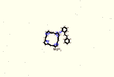 C1=Cc2cc3ccc(cc4nc(cc5ccc(cc1n2)[nH]5)C=C4)[nH]3.Nc1ccccc1CCc1ccccc1.[MgH2]